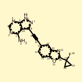 Nc1ncnc2[nH]nc(C#Cc3ccc4oc(C5(F)CC5)nc4c3)c12